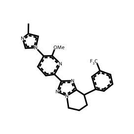 COc1nc(-c2nc3n(n2)CCCC3c2cccc(C(F)(F)F)c2)ccc1-n1cnc(C)c1